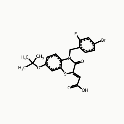 CC(C)(C)Oc1ccc2c(c1)S/C(=C\C(=O)O)C(=O)N2Cc1ccc(Br)cc1F